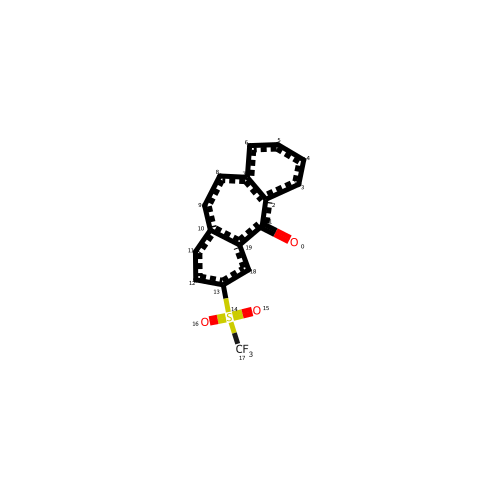 O=c1c2ccccc2ccc2ccc(S(=O)(=O)C(F)(F)F)cc12